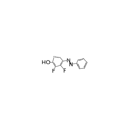 Oc1ccc(N=Nc2ccccc2)c(F)c1F